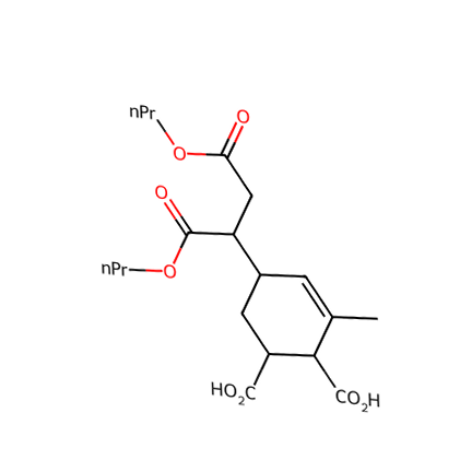 CCCOC(=O)CC(C(=O)OCCC)C1C=C(C)C(C(=O)O)C(C(=O)O)C1